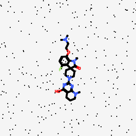 CN(C)CCOc1ccc(F)c2c1N(C)C(=O)C21CCN(c2nc(O)c3c(n2)N(C)CCC3)CC1